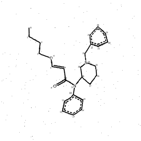 CCCCOC=CC(=O)N(c1ccccc1)C1CCCN(Cc2ccccc2)C1